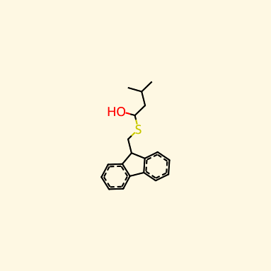 CC(C)CC(O)SCC1c2ccccc2-c2ccccc21